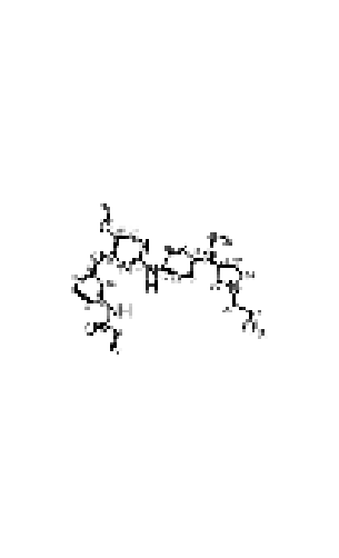 C=CC(=O)Nc1cccc(Oc2nc(Nc3ccc(N(CC)C4CCN(CCOC)C4)cc3)ncc2OC)c1